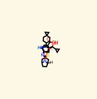 N=C(/C(COC1CC2CC[C@@H](C1)N2c1nc2c(F)cc(C(=O)O)cc2s1)=C(\O)C1CC1)C1CCC2(CC1)CC2